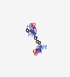 COC(=O)NC(C(=O)N1C[C@@H](c2ccccc2)C[C@H]1c1ncc(-c2ccc(-c3ccc4cc(-c5c[nH]c([C@@H]6CCCN6C(=O)[C@@H](NC(=O)OC)C(C)C)n5)ccc4c3)cc2)[nH]1)C(C)C